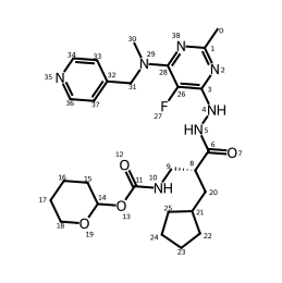 Cc1nc(NNC(=O)[C@@H](CNC(=O)OC2CCCCO2)CC2CCCC2)c(F)c(N(C)Cc2ccncc2)n1